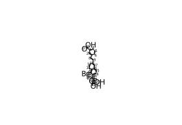 O=C(O)c1cccc(/C=C/c2ccc3c(Br)c(C(F)(F)OP(O)O)ccc3c2)c1